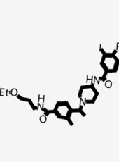 CCOCCCNC(=O)c1ccc(C(C)N2CCC(NC(=O)c3ccc(F)c(I)c3)CC2)c(C)c1